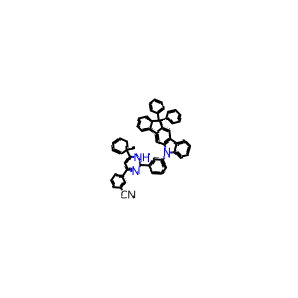 CC1(C2=CC(c3cccc(C#N)c3)=NC(c3cccc(-n4c5ccccc5c5cc6c(cc54)-c4ccccc4C6(c4ccccc4)c4ccccc4)c3)N2)C=CC=CC1